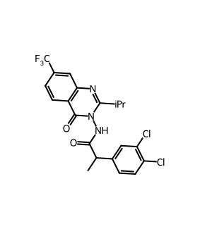 CC(C)c1nc2cc(C(F)(F)F)ccc2c(=O)n1NC(=O)C(C)c1ccc(Cl)c(Cl)c1